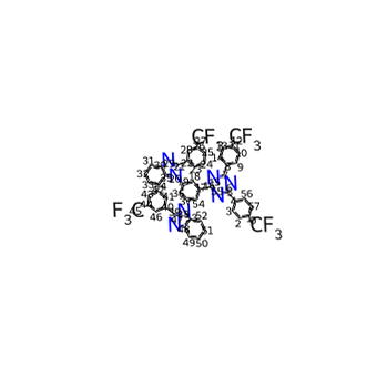 FC(F)(F)c1ccc(-c2nc(-c3ccc(C(F)(F)F)cc3)nc(-c3cc(-n4c(-c5cccc(C(F)(F)F)c5)nc5ccccc54)cc(-n4c(-c5cccc(C(F)(F)F)c5)nc5ccccc54)c3)n2)cc1